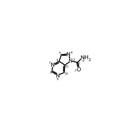 NC(=O)n1ncc2ncncc21